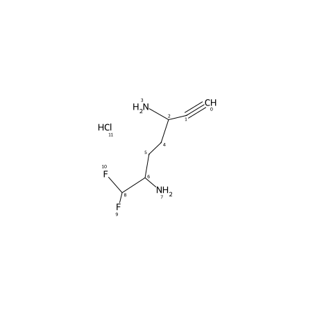 C#CC(N)CCC(N)C(F)F.Cl